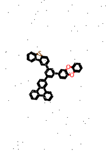 c1ccc2c(c1)Oc1ccc(-c3cc(-c4ccc5sc6ccccc6c5c4)cc(-c4ccc5c6ccccc6c6ccccc6c5c4)c3)cc1O2